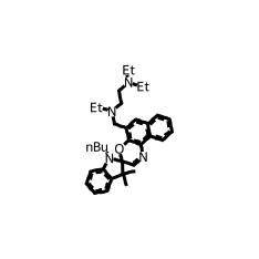 CCCCN1c2ccccc2C(C)(C)C12C=Nc1c(c(CN(CC)CCN(CC)CC)cc3ccccc13)O2